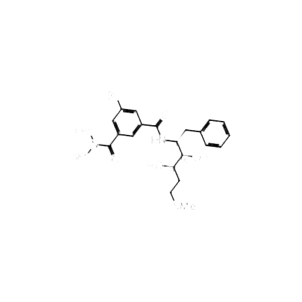 CCCN(CCC)C(=O)c1cc(Br)cc(C(=O)N[C@@H](Cc2ccccc2)[C@@H](O)[C@H](O)CCSC)c1